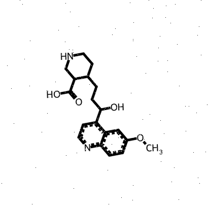 COc1ccc2nccc(C(O)CCC3CCNCC3C(=O)O)c2c1